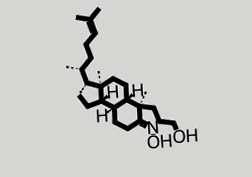 CC(C)=CCC[C@@H](C)[C@H]1CC[C@H]2[C@@H]3CCC(=NO)[C@](C)(CCCO)[C@H]3CC[C@]12C